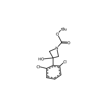 CC(C)(C)OC(=O)N1CC(O)(c2c(Cl)cccc2Cl)C1